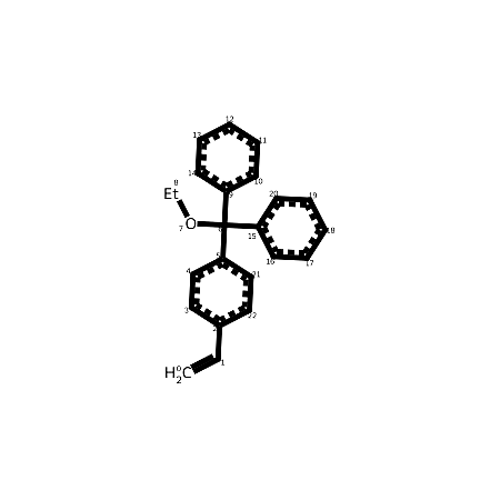 C=Cc1ccc(C(OCC)(c2ccccc2)c2ccccc2)cc1